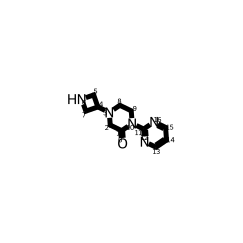 O=C1CN(C2CNC2)CCN1c1ncccn1